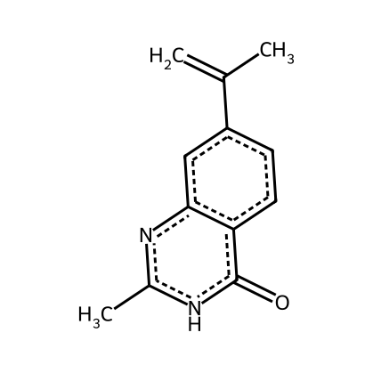 C=C(C)c1ccc2c(=O)[nH]c(C)nc2c1